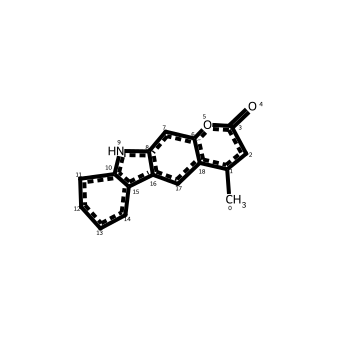 Cc1cc(=O)oc2cc3[nH]c4ccccc4c3cc12